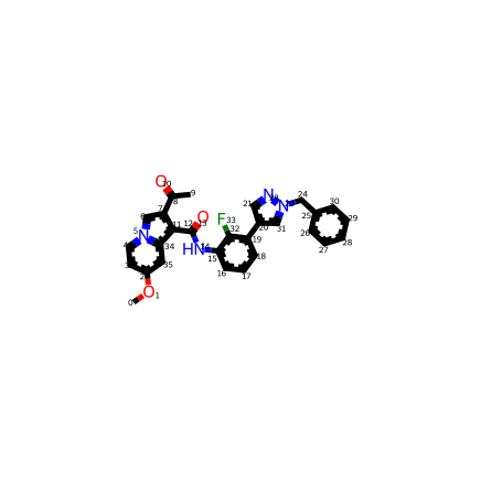 COc1ccn2cc(C(C)=O)c(C(=O)Nc3cccc(-c4cnn(Cc5ccccc5)c4)c3F)c2c1